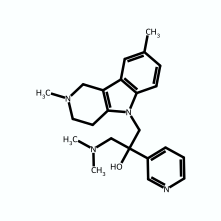 Cc1ccc2c(c1)c1c(n2CC(O)(CN(C)C)c2cccnc2)CCN(C)C1